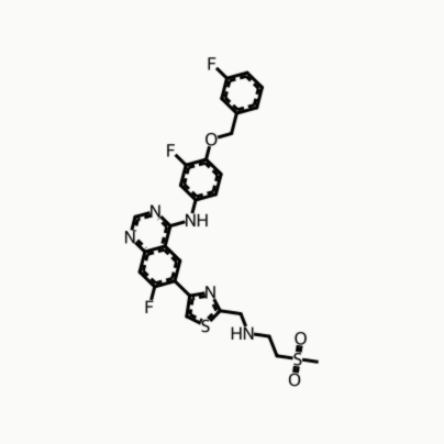 CS(=O)(=O)CCNCc1nc(-c2cc3c(Nc4ccc(OCc5cccc(F)c5)c(F)c4)ncnc3cc2F)cs1